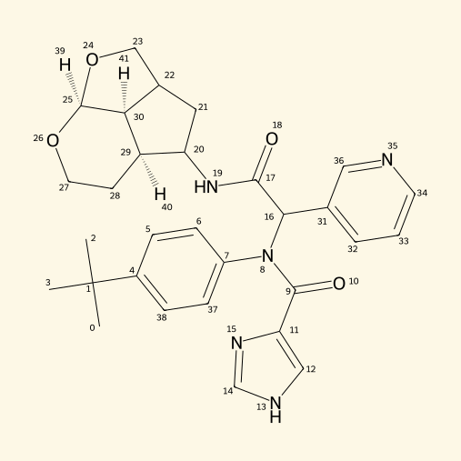 CC(C)(C)c1ccc(N(C(=O)c2c[nH]cn2)C(C(=O)NC2CC3CO[C@@H]4OCC[C@H]2[C@H]34)c2cccnc2)cc1